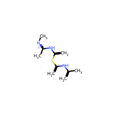 C=C(C)NC(=C)SC(=C)N/C(C)=N\C